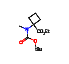 CCOC(=O)C1(N(C)C(=O)OC(C)(C)C)CCC1